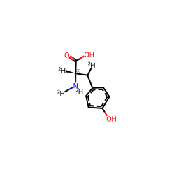 [2H]C(c1ccc(O)cc1)[C@@]([2H])(C(=O)O)N([2H])[2H]